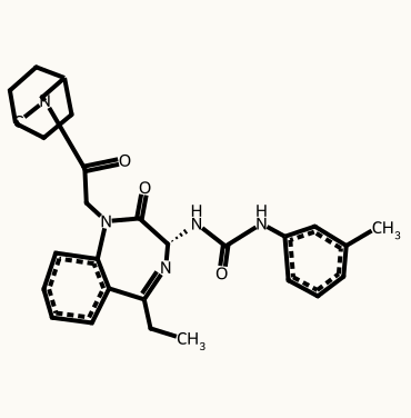 CCC1=N[C@@H](NC(=O)Nc2cccc(C)c2)C(=O)N(CC(=O)N2CC3CCC(CC3)C2)c2ccccc21